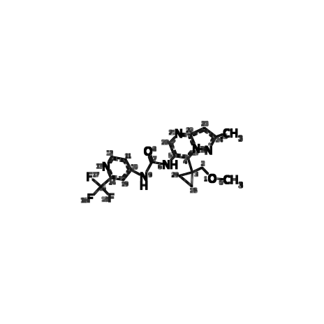 COCC1(c2c(NC(=O)Nc3ccnc(C(F)(F)F)c3)cnc3cc(C)nn23)CC1